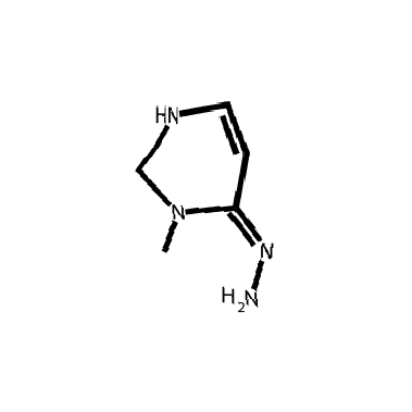 CN1CNC=CC1=NN